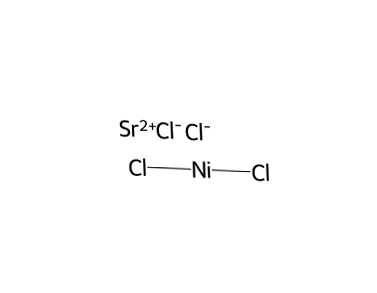 [Cl-].[Cl-].[Cl][Ni][Cl].[Sr+2]